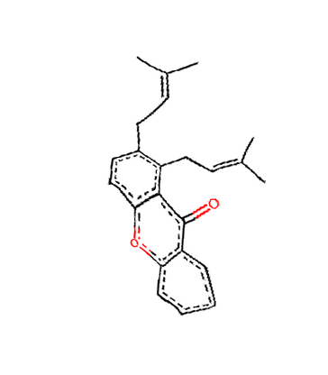 CC(C)=CCc1ccc2oc3ccccc3c(=O)c2c1CC=C(C)C